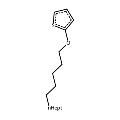 CCCCCCCCCCCCOc1cccs1